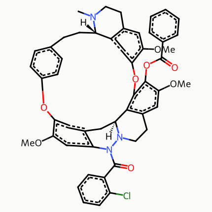 COc1cc2c3cc1Oc1ccc(cc1)CC[C@H]1c4cc(c(OC)cc4CCN1C)Oc1c(OC(=O)c4ccccc4)c(OC)cc4c1[C@H](C3)N(CC4)N2C(=O)c1ccccc1Cl